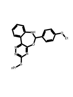 CCCSc1nnc2c(n1)OC(c1ccc(OCC)cc1)Nc1ccccc1-2